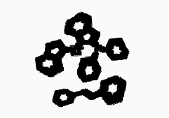 C1=C[CH]([Zr][CH]2C(P(c3ccccc3)c3ccccc3)=Cc3ccccc32)c2ccccc21.c1ccc(CCc2ccccc2)cc1